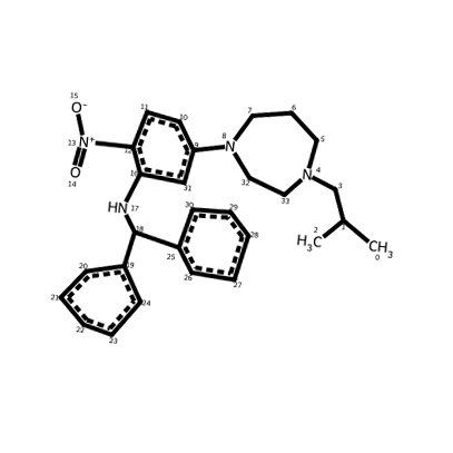 CC(C)CN1CCCN(c2ccc([N+](=O)[O-])c(NC(c3ccccc3)c3ccccc3)c2)CC1